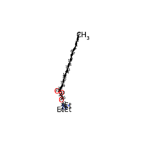 CC#CC#CC#CC#CC#CC#CC#CC#CC#CC#CC(=O)OCCOCC[N+](CC)(CC)CC